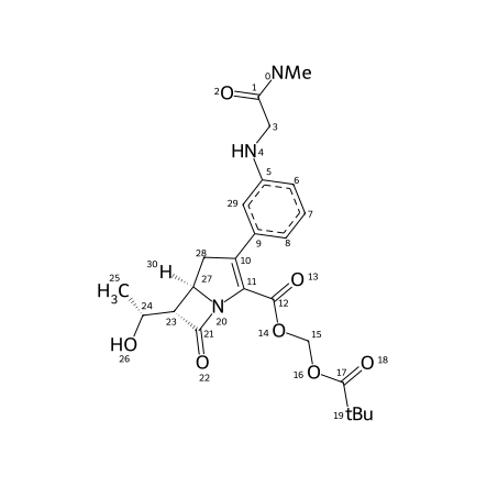 CNC(=O)CNc1cccc(C2=C(C(=O)OCOC(=O)C(C)(C)C)N3C(=O)[C@H]([C@@H](C)O)[C@H]3C2)c1